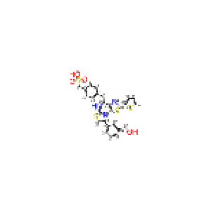 O=S(=O)(O)Cc1ccc(C[C@H](Nc2nc(-c3cccc(CO)c3)cs2)c2csc(-c3cccs3)n2)cc1